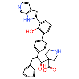 O=C(O)C1(C(=O)C(Cc2ccccc2)c2ccc(-c3cccc(-c4cc5ccncc5[nH]4)c3O)cc2)CCNCC1